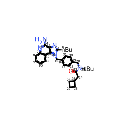 CCCCc1nc2c(N)nc3ccccc3c2n1Cc1ccc(CN(C(=O)CC2CCC2)C(C)(C)C)cc1